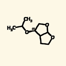 CC(C)O[C@H]1COC2OCCC21